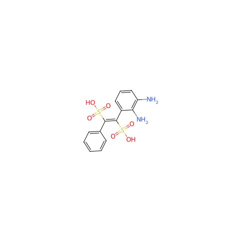 Nc1cccc(C(=C(c2ccccc2)S(=O)(=O)O)S(=O)(=O)O)c1N